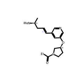 CCC(=O)N1CC[C@H](Oc2cncc(/C=C/C[C@H](C)NC)c2)C1